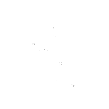 O=C(O)CN1CCC2(C=Nc3ccccc32)CC1